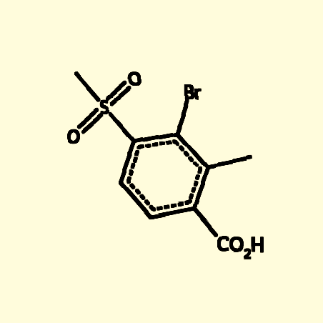 Cc1c(C(=O)O)ccc(S(C)(=O)=O)c1Br